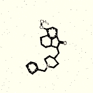 COc1ccc2c3c1CCCC3C(CC1CCN(Cc3ccccc3)CC1)C2=O